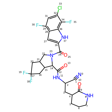 N#CC(CC1CCCNC1=O)NC(=O)C1C2CC(F)(F)CC2CN1C(=O)c1cc2c(F)cc(Cl)c(F)c2[nH]1